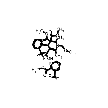 COC(=O)c1ncccc1C(=O)O.COCN1C(C)=C(C(=O)O)C(c2ccccc2C(F)(F)F)C(C(=O)OC)(C(=O)OC)C1C